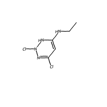 CCNC1=CC(Cl)=NN(Cl)N1